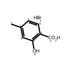 Br.Cc1ccc(C(=O)O)c(O)c1